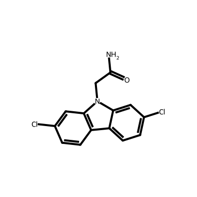 NC(=O)Cn1c2cc(Cl)ccc2c2ccc(Cl)cc21